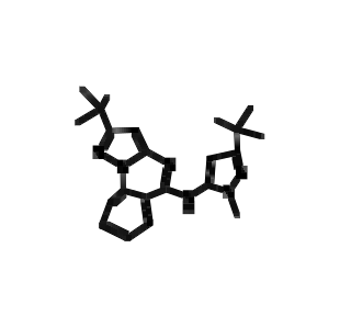 Cn1nc(C(C)(C)C)cc1Nc1nc2cc(C(C)(C)C)nn2c2ccccc12